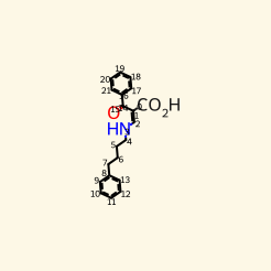 O=C(O)/C(=C/NCCCCc1ccccc1)C(=O)c1ccccc1